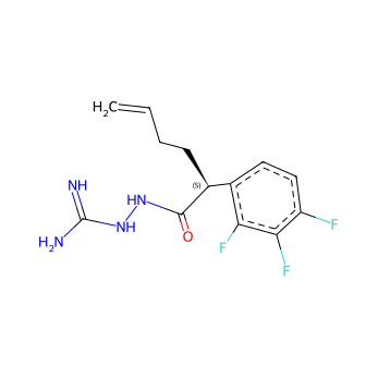 C=CCC[C@H](C(=O)NNC(=N)N)c1ccc(F)c(F)c1F